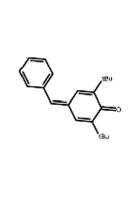 CC(C)(C)C1=CC(=Cc2cc[c]cc2)C=C(C(C)(C)C)C1=O